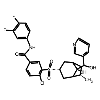 C[C@H]1CC2C[C@@H](S(=O)(=O)c3cc(C(=O)Nc4ccc(F)c(F)c4)ccc3Cl)CC1[C@@]2(O)C(O)c1cccnc1